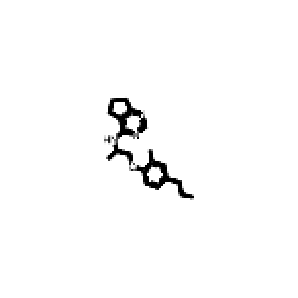 CCCc1ccc(OCC(C)Nc2ncnc3c2CCC3)c(C)c1